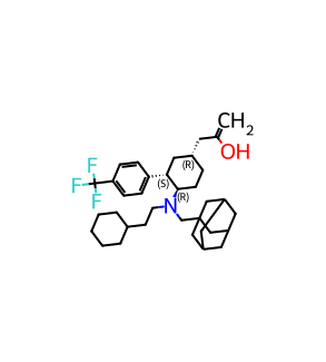 C=C(O)C[C@@H]1CC[C@@H](N(CCC2CCCCC2)CC23CC4CC(CC(C4)C2)C3)[C@H](c2ccc(C(F)(F)F)cc2)C1